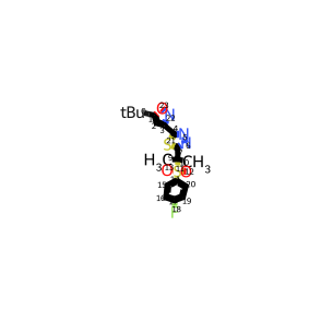 CC(C)(C)c1cc(-c2nnc(C(C)(C)S(=O)(=O)c3ccc(F)cc3)s2)no1